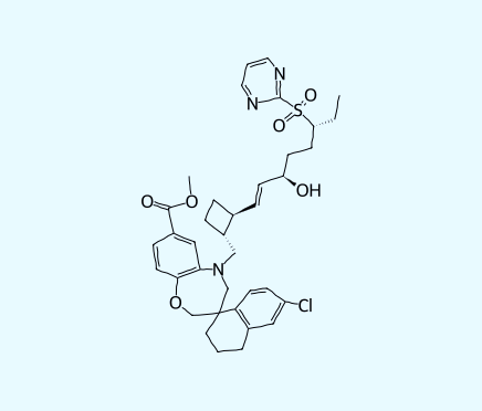 CC[C@H](CC[C@@H](O)/C=C/[C@@H]1CC[C@H]1CN1CC2(CCCc3cc(Cl)ccc32)COc2ccc(C(=O)OC)cc21)S(=O)(=O)c1ncccn1